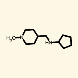 CN1CCC(CNC2CCCC2)CC1